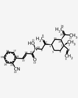 C=C[C@]1(C)CC[C@@H](C(=C)CN(O)C(=O)/C=C/c2ccccc2C#N)C[C@H]1C(=C)C